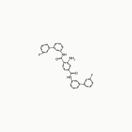 Nc1cc(C(=O)Nc2cccc(-c3cccc(F)c3)c2)ccc1C(=O)Nc1cccc(-c2cccc(F)c2)c1